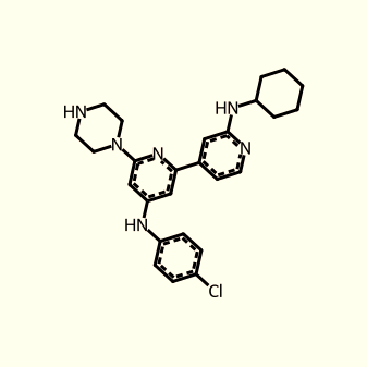 Clc1ccc(Nc2cc(-c3ccnc(NC4CCCCC4)c3)nc(N3CCNCC3)c2)cc1